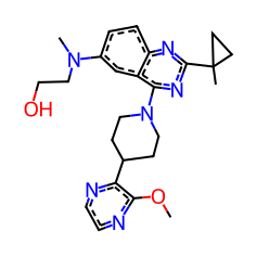 COc1nccnc1C1CCN(c2nc(C3(C)CC3)nc3ccc(N(C)CCO)cc23)CC1